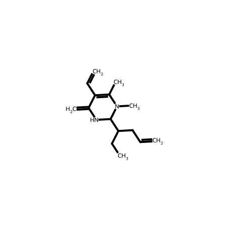 C=CCC(CC)C1NC(=C)C(C=C)=C(C)N1C